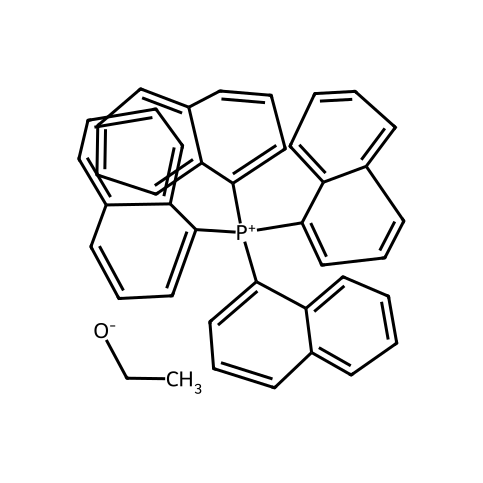 CC[O-].c1ccc2c([P+](c3cccc4ccccc34)(c3cccc4ccccc34)c3cccc4ccccc34)cccc2c1